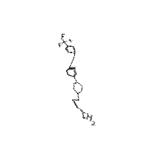 C=C/C=C\CC1CCC(c2ccc(-c3ccc(C(F)(F)F)cc3)cc2)CC1